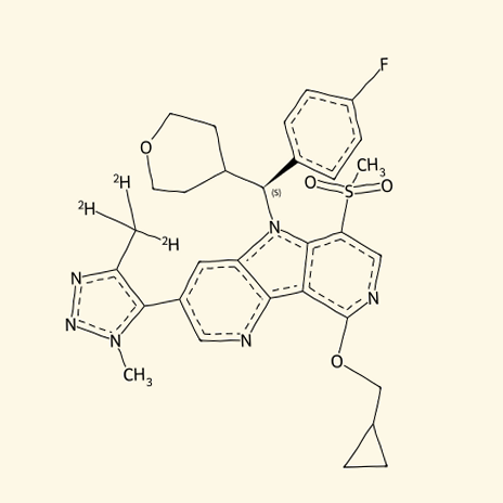 [2H]C([2H])([2H])c1nnn(C)c1-c1cnc2c3c(OCC4CC4)ncc(S(C)(=O)=O)c3n([C@H](c3ccc(F)cc3)C3CCOCC3)c2c1